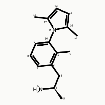 Cc1c(C[C@@H](C)N)cccc1-n1c(C)ccc1C